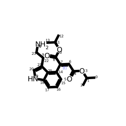 CC(C)OC(=O)/C=C(/C(=O)OC(C)C)c1cccc2[nH]cc(CCN)c12